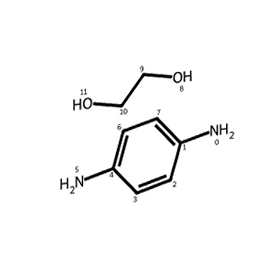 Nc1ccc(N)cc1.OCCO